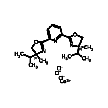 CC(C)[C@]1(C)COC(c2cccc(C3=N[C@](C)(C(C)C)CO3)n2)=N1.[Cl-].[Cl-].[Cl-].[Co+3]